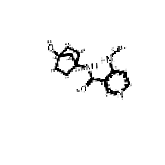 CC(C)Nc1ccncc1C(=O)NC12CCC(O)(CC1)C2